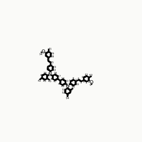 COc1cc(/C=C/c2ccc(N(c3ccc(-c4ccc(N(c5ccc(/C=C/c6ccc(C)c(OC)c6)cc5)c5ccc(C)cc5C)cc4)cc3)c3ccc(C)cc3C)cc2)ccc1C